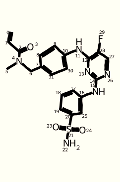 C=CC(=O)N(C)Cc1ccc(Nc2nc(Nc3cccc(S(N)(=O)=O)c3)ncc2F)cc1